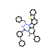 CC1Cc2c(c3ccc4c5ccccc5sc4c3n2N(Cc2ccccc2)NC(=N)c2cccc(-c3ccccc3)c2)C=C1c1ccccc1